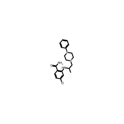 CC(CN1CCN(c2ccccc2)CC1)Nc1cc(Cl)ccc1C(N)=O